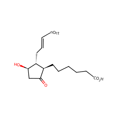 CCCCCCCC/C=C/C[C@H]1[C@H](O)CC(=O)[C@@H]1CCCCCC(=O)O